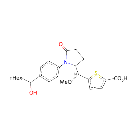 CCCCCCC(O)c1ccc(N2C(=O)CCC2[C@@H](OC)c2ccc(C(=O)O)s2)cc1